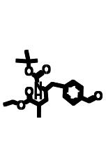 CCOC(=O)C(C)CC(Cc1ccc(C=O)cc1)NC(=O)OC(C)(C)C